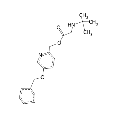 CC(C)(C)NCC(=O)OCc1ccc(OCc2ccccc2)cn1